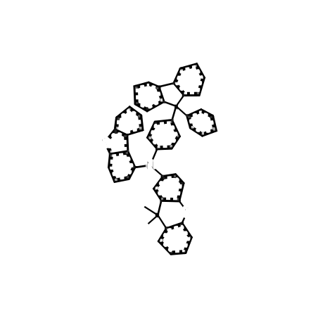 CC1(C)c2ccccc2Sc2ccc(N(c3ccc(C4(c5ccccc5)c5ccccc5-c5ccccc54)cc3)c3cccc4sc5ccccc5c34)cc21